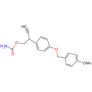 C#CC(COC(N)=O)c1ccc(OCc2ccc(OC)cc2)cc1